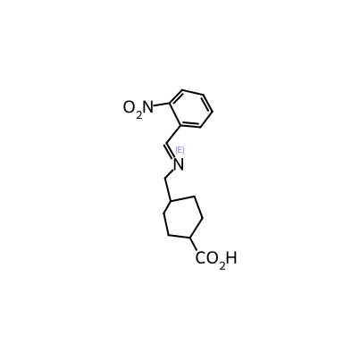 O=C(O)C1CCC(C/N=C/c2ccccc2[N+](=O)[O-])CC1